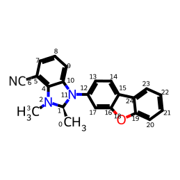 C[C@H]1N(C)c2c(C#N)cccc2N1c1ccc2c(c1)oc1ccccc12